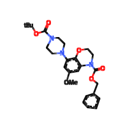 COc1cc(N2CCN(C(=O)OC(C)(C)C)CC2)c2c(c1)N(C(=O)OCc1ccccc1)CCO2